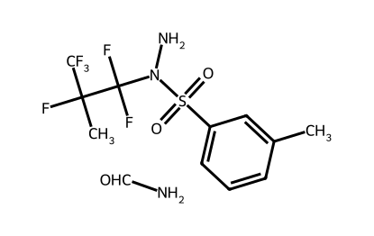 Cc1cccc(S(=O)(=O)N(N)C(F)(F)C(C)(F)C(F)(F)F)c1.NC=O